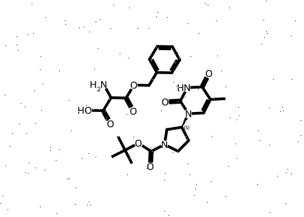 Cc1cn([C@H]2CCN(C(=O)OC(C)(C)C)C2)c(=O)[nH]c1=O.NC(C(=O)O)C(=O)OCc1ccccc1